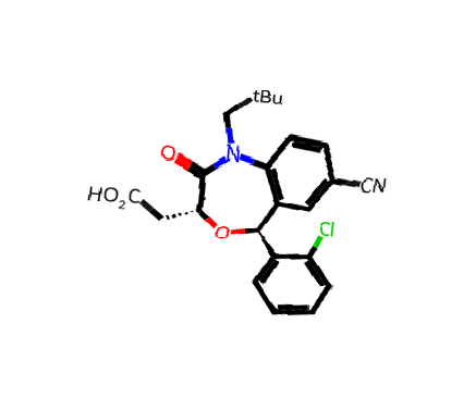 CC(C)(C)CN1C(=O)[C@@H](CC(=O)O)O[C@H](c2ccccc2Cl)c2cc(C#N)ccc21